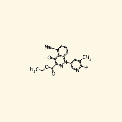 CCOC(=O)c1nn(-c2cnc(F)c(C)c2)c2cccc(C#N)c2c1=O